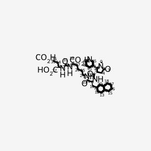 CN1C(=O)C[C@H](C(=O)N[C@@H](Cc2ccc3ccccc3c2)C(=O)NCCCC[C@H](NC(=O)N[C@@H](CCC(=O)O)C(=O)O)C(=O)O)[C@H]1c1cccnc1